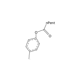 [CH2]c1ccc(OC(=O)CCCCC)cc1